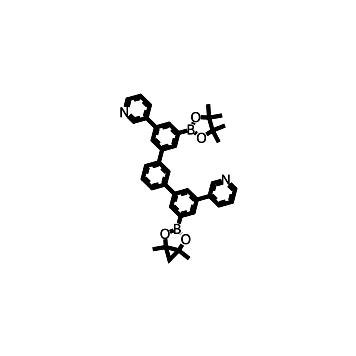 CC1(C)OB(c2cc(-c3cccnc3)cc(-c3cccc(-c4cc(B5OC6(C)CC6(C)O5)cc(-c5cccnc5)c4)c3)c2)OC1(C)C